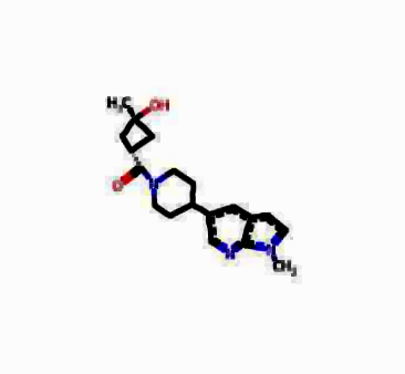 Cn1ccc2cc(C3CCN(C(=O)[C@H]4C[C@@](C)(O)C4)CC3)cnc21